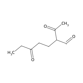 CCC(=O)CCC([C]=O)C(C)=O